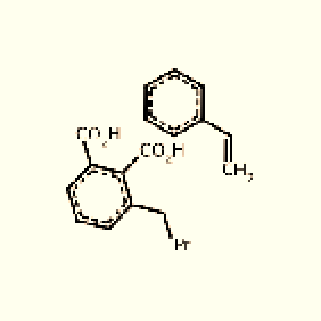 C=Cc1ccccc1.CC(C)Cc1cccc(C(=O)O)c1C(=O)O